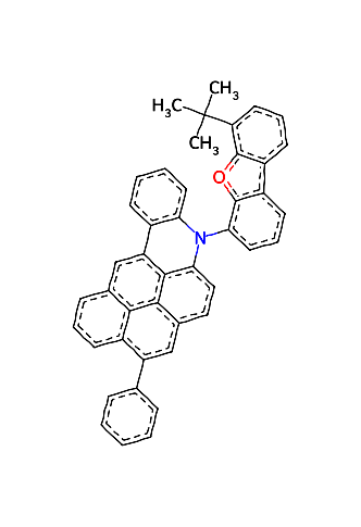 CC(C)(C)c1cccc2c1oc1c(N3c4ccccc4-c4cc5cccc6c(-c7ccccc7)cc7ccc3c4c7c56)cccc12